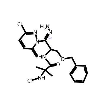 C=C1C=CC(Cl)=NN1/C(=N\N)C(COCc1ccccc1)NC(=O)C(C)(C)NCl